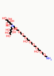 NCCOCCOCC(O)COCCOCCOCC(O)COCCOCCOCCOCCN(C[C@H](O)[C@@H](O)[C@H](O)[C@H](O)CO)C[C@H](O)[C@@H](O)[C@H](O)[C@H](O)CO